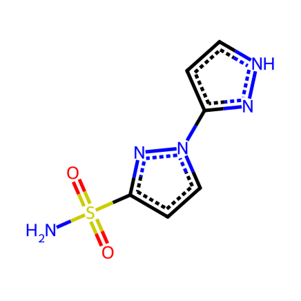 NS(=O)(=O)c1ccn(-c2cc[nH]n2)n1